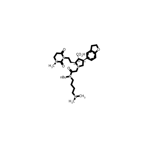 CCCCN(CCCCN(C)C)C(=O)CN1C[C@H](c2ccc3c(c2)CCO3)[C@@H](C(=O)O)[C@@H]1CCN1C(=O)CCN(C)C1=O